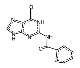 O=C(Nc1nc2[nH]cnc2c(=O)[nH]1)c1ccccc1